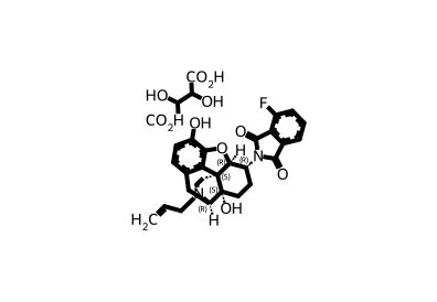 C=CCN1CC[C@]23c4c5ccc(O)c4O[C@H]2[C@H](N2C(=O)c4cccc(F)c4C2=O)CC[C@@]3(O)[C@H]1C5.O=C(O)C(O)C(O)C(=O)O